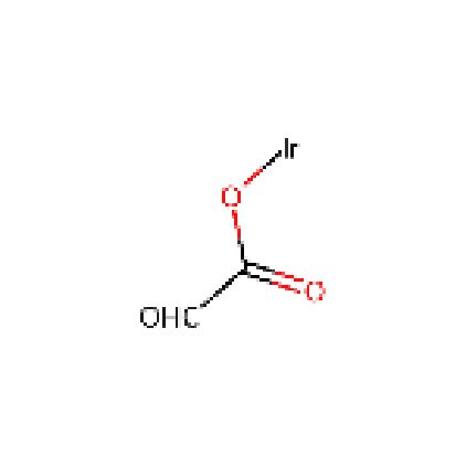 O=CC(=O)[O][Ir]